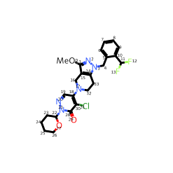 COc1nn(Cc2ccccc2C(F)F)c2c1CN(c1cnn(C3CCCCO3)c(=O)c1Cl)CC2